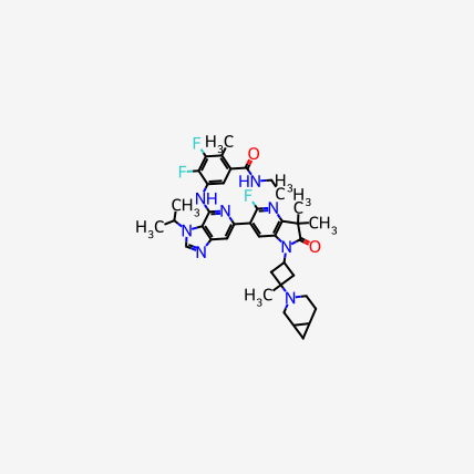 CCNC(=O)c1cc(Nc2nc(-c3cc4c(nc3F)C(C)(C)C(=O)N4C3CC(C)(N4CCC5CC5C4)C3)cc3ncn(C(C)C)c23)c(F)c(F)c1C